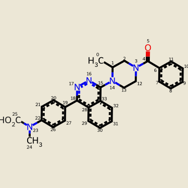 CC1CN(C(=O)c2ccccc2)CCN1c1nnc(-c2ccc(N(C)C(=O)O)cc2)c2ccccc12